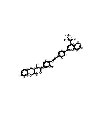 NNC(=O)c1cc(-c2ccc(C#Cc3ccc(C(=O)NC(Cc4ccccc4)C(=O)O)cc3F)cc2)nc2ccncc12